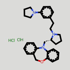 Cl.Cl.c1cc(CCN2CCC[C@@H]2CN2c3ccccc3COc3ccccc32)cc(N2CCCC2)c1